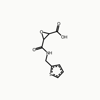 O=C(O)C1OC1C(=O)NCc1cccs1